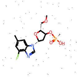 COC[C@H]1O[C@@H](n2cnc3c(F)cc(C)cc32)CC1O[P@](C)(=O)O